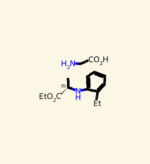 CCOC(=O)[C@H](C)Nc1ccccc1CC.NCC(=O)O